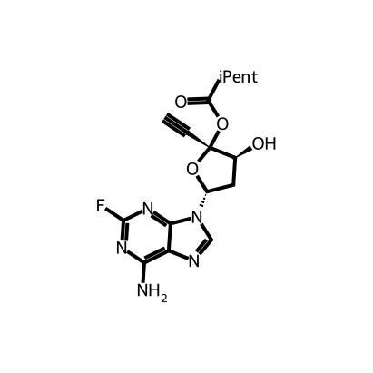 C#C[C@]1(OC(=O)C(C)CCC)O[C@@H](n2cnc3c(N)nc(F)nc32)C[C@@H]1O